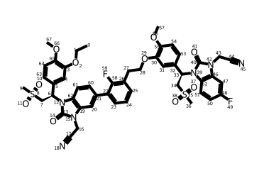 CCOc1cc([C@H](CS(C)(=O)=O)n2c(=O)n(CC#N)c3cc(-c4cccc(CCOc5cc([C@H](CS(C)(=O)=O)n6c(=O)n(CC#N)c7cc(F)ccc76)ccc5OC)c4F)ccc32)ccc1OC